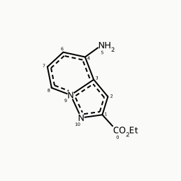 CCOC(=O)c1cc2c(N)cccn2n1